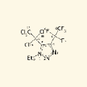 CCn1nnc(C(F)(F)C(F)(F)F)c1C(Cl)(Cl)C(Cl)(Cl)Cl